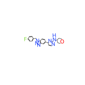 Fc1ccc(Cn2nnc3cc(-c4ccnc(NC5CCOCC5)n4)ccc32)cc1